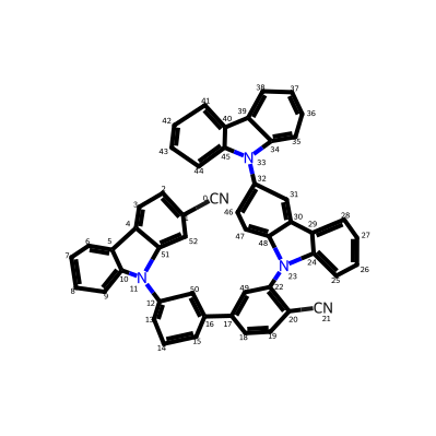 N#Cc1ccc2c3ccccc3n(-c3cccc(-c4ccc(C#N)c(-n5c6ccccc6c6cc(-n7c8ccccc8c8ccccc87)ccc65)c4)c3)c2c1